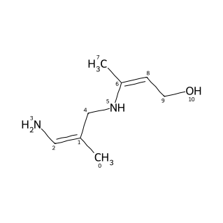 C/C(=C/N)CN/C(C)=C\CO